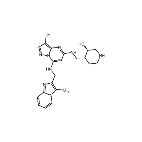 CC(C)c1cnn2c(NCc3nc4ccccn4c3C(F)(F)F)cc(NC[C@H]3CCNC[C@@H]3O)nc12